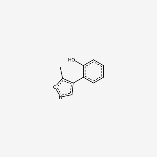 Cc1oncc1-c1ccccc1O